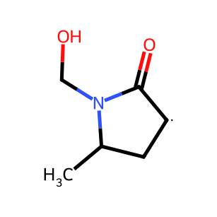 CC1C[CH]C(=O)N1CO